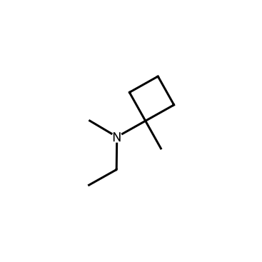 CCN(C)C1(C)CCC1